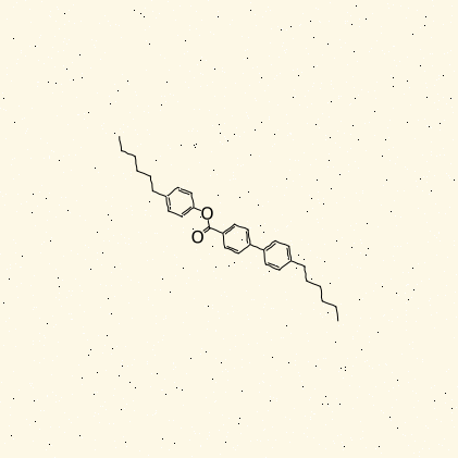 CCCCCCc1ccc(OC(=O)c2ccc(-c3ccc(CCCCCC)cc3)cc2)cc1